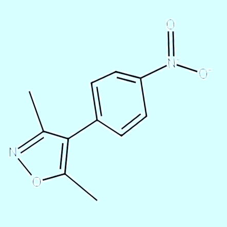 Cc1noc(C)c1-c1ccc([N+](=O)[O-])cc1